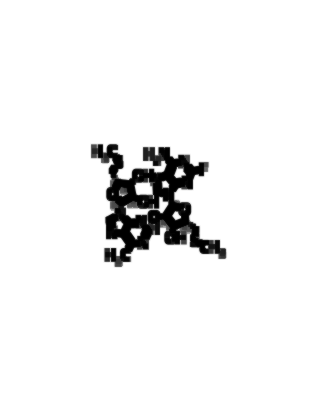 CSC[C@H]1O[C@@H](n2cnc3c(C)ncnc32)[C@H](O)[C@@H]1O.CSC[C@H]1O[C@@H](n2cnc3c(N)nc(F)nc32)[C@H](O)[C@@H]1O